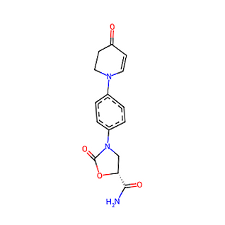 NC(=O)[C@H]1CN(c2ccc(N3C=CC(=O)CC3)cc2)C(=O)O1